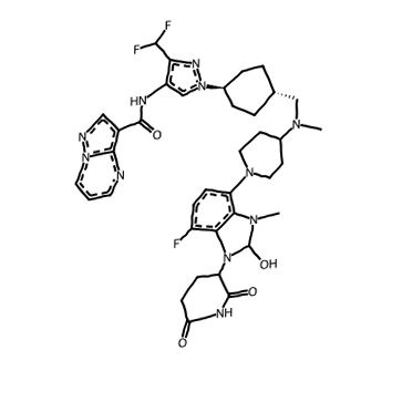 CN(C[C@H]1CC[C@H](n2cc(NC(=O)c3cnn4cccnc34)c(C(F)F)n2)CC1)C1CCN(c2ccc(F)c3c2N(C)C(O)N3C2CCC(=O)NC2=O)CC1